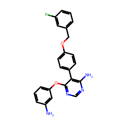 Nc1cccc(Oc2ncnc(N)c2-c2ccc(OCc3cccc(F)c3)cc2)c1